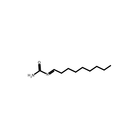 CCCCCCCCC=NC(N)=O